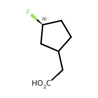 O=C(O)CC1CC[C@H](F)C1